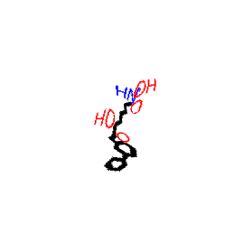 O=C(CCCCC(O)c1cc2cc(-c3ccccc3)ccc2o1)NO